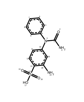 NC(=O)N(c1ccccc1)c1ccc(S(=O)(=O)O)c(N)c1